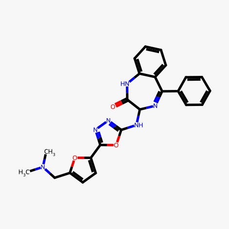 CN(C)Cc1ccc(-c2nnc(NC3N=C(c4ccccc4)c4ccccc4NC3=O)o2)o1